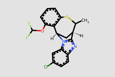 CC1Sc2cccc(OC(F)F)c2[C@H]2C[C@@H]1c1nc3ccc(Cl)cc3n12